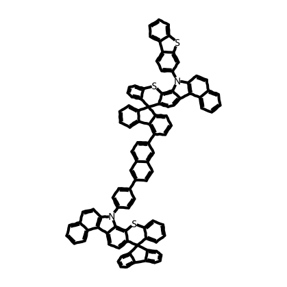 c1ccc2c(c1)Sc1c(ccc3c4c5ccccc5ccc4n(-c4ccc(-c5ccc6cc(-c7cccc8c7-c7ccccc7C87c8ccccc8Sc8c7ccc7c9c%10ccccc%10ccc9n(-c9ccc%10c(c9)sc9ccccc9%10)c87)ccc6c5)cc4)c13)C21c2ccccc2-c2ccccc21